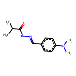 CC(C)C(=O)NN=Cc1ccc(N(C)C)cc1